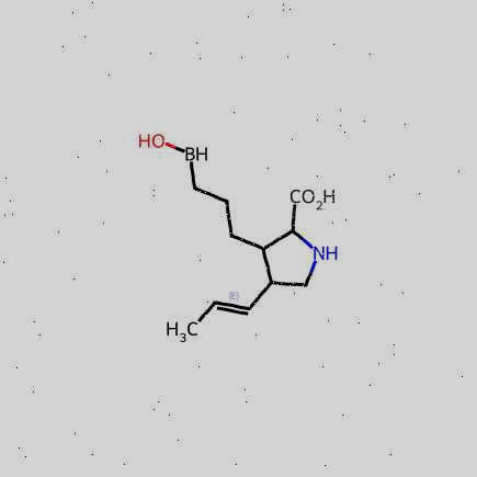 C/C=C/C1CNC(C(=O)O)C1CCCBO